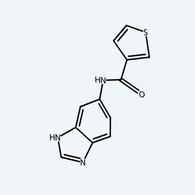 O=C(Nc1ccc2nc[nH]c2c1)c1ccsc1